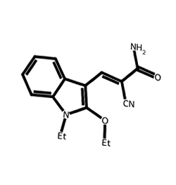 CCOc1c(C=C(C#N)C(N)=O)c2ccccc2n1CC